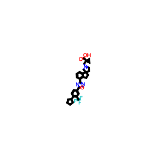 O=C(O)C1(CN2CCC3(CCc4c(-c5noc(-c6ccc(C7CCCC7)c(C(F)(F)F)c6)n5)cccc43)C2)CC1